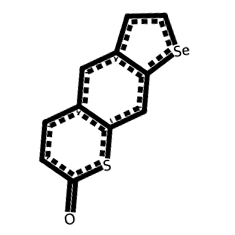 O=c1ccc2cc3cc[se]c3cc2s1